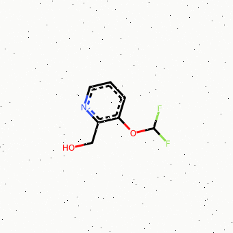 OCc1ncccc1OC(F)F